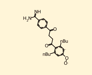 CCCCc1[c]c(O[O])cc(CCCC)c1C(=O)CCC(=O)c1ccc(C(=N)N)cc1